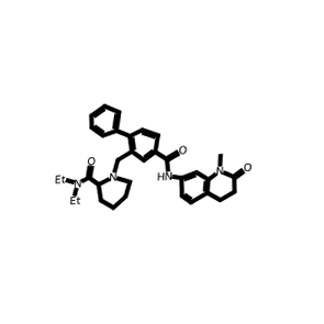 CCN(CC)C(=O)C1CCCCN1Cc1cc(C(=O)Nc2ccc3c(c2)N(C)C(=O)CC3)ccc1-c1ccccc1